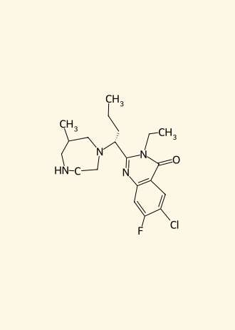 CCC[C@H](c1nc2cc(F)c(Cl)cc2c(=O)n1CC)N1CCNCC(C)C1